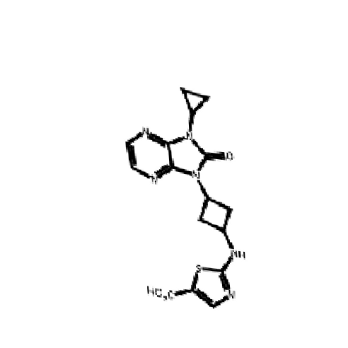 O=C(O)c1cnc(NC2CC(n3c(=O)n(C4CC4)c4nccnc43)C2)s1